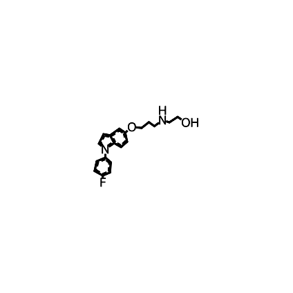 OCCNCCCOc1ccc2c(ccn2-c2ccc(F)cc2)c1